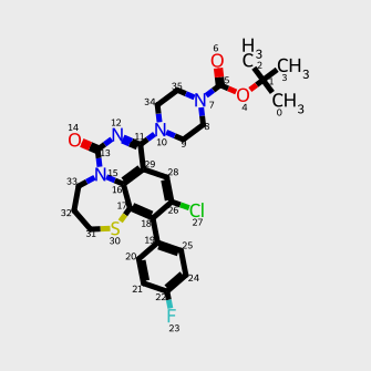 CC(C)(C)OC(=O)N1CCN(c2nc(=O)n3c4c(c(-c5ccc(F)cc5)c(Cl)cc24)SCCC3)CC1